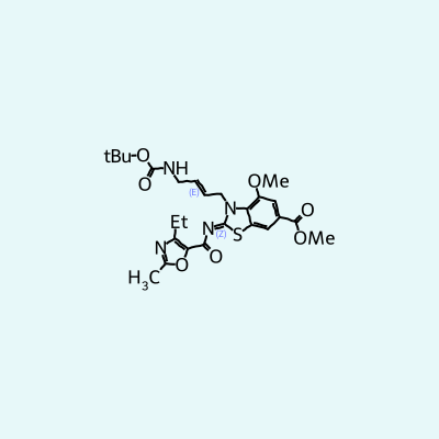 CCc1nc(C)oc1C(=O)/N=c1\sc2cc(C(=O)OC)cc(OC)c2n1C/C=C/CNC(=O)OC(C)(C)C